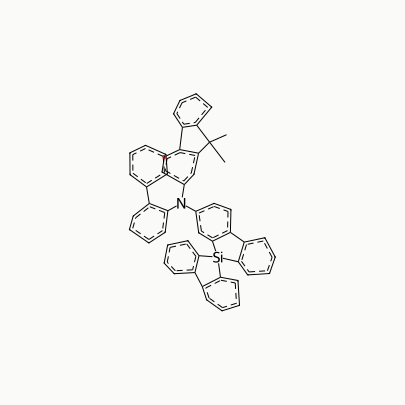 CC1(C)c2ccccc2-c2ccc(N(c3ccc4c(c3)[Si]3(c5ccccc5-c5ccccc53)c3ccccc3-4)c3ccccc3-c3ccccc3)cc21